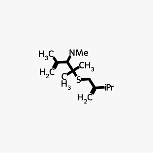 C=C(CSC(C)(C)C(NC)C(=C)C)C(C)C